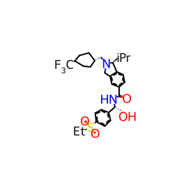 CCS(=O)(=O)c1ccc([C@@H](CO)NC(=O)c2ccc3c(c2)CN(C[C@H]2CC[C@H](C(F)(F)F)CC2)[C@H]3C(C)C)cc1